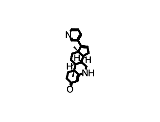 C[C@]12CCC(=O)C=C1NC[C@@H]1[C@@H]2CC[C@]2(C)C(c3cccnc3)=CC[C@@H]12